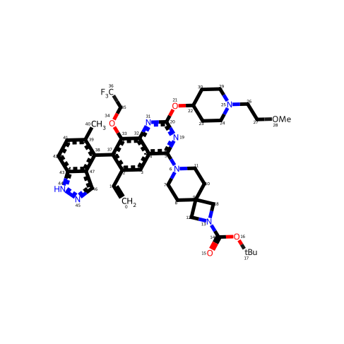 C=Cc1cc2c(N3CCC4(CC3)CN(C(=O)OC(C)(C)C)C4)nc(OC3CCN(CCOC)CC3)nc2c(OCC(F)(F)F)c1-c1c(C)ccc2[nH]ncc12